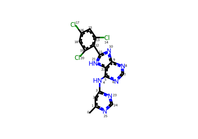 Cc1cc(Nc2ncnc3nc(-c4c(Cl)cc(Cl)cc4Cl)[nH]c23)ncn1